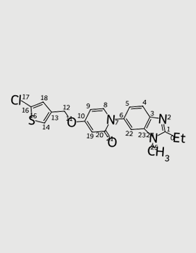 CCc1nc2ccc(-n3ccc(OCc4csc(Cl)c4)cc3=O)cc2n1C